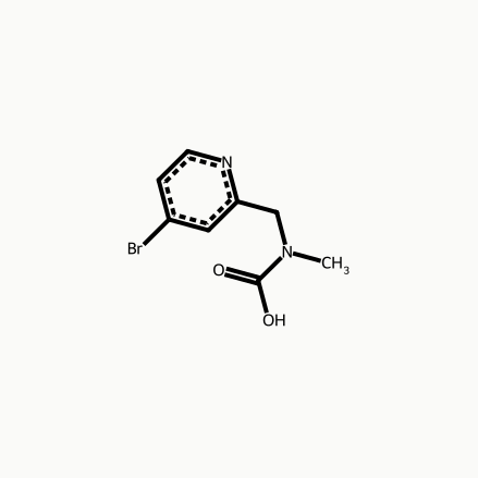 CN(Cc1cc(Br)ccn1)C(=O)O